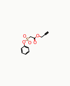 C#CCOC(=O)CS(=O)(=O)Oc1ccccc1